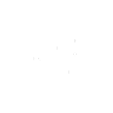 CCOC(I)(I)CC(F)(F)F